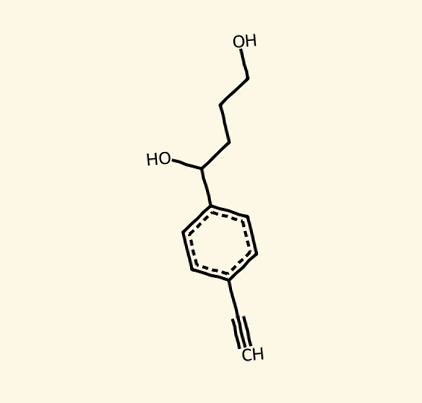 C#Cc1ccc(C(O)CCCO)cc1